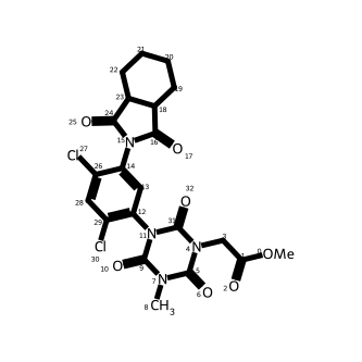 COC(=O)Cn1c(=O)n(C)c(=O)n(-c2cc(N3C(=O)C4CCCCC4C3=O)c(Cl)cc2Cl)c1=O